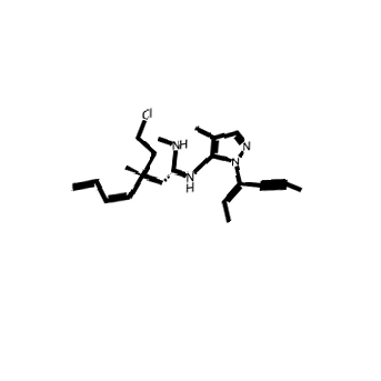 C=C/C=C\[C@](C)(CCCl)C[C@H](NC)Nc1c(C)cnn1/C(C#CC)=C/C